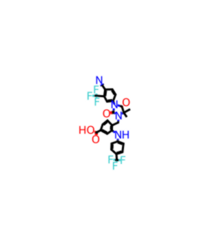 CC1(C)C(=O)N(c2ccc(C#N)c(C(F)(F)F)c2)C(=O)N1Cc1ccc(C(=O)O)cc1Nc1ccc(C(F)(F)F)cc1